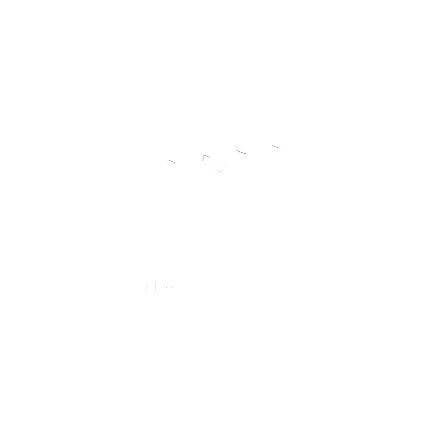 CCCCCCCCCCCCCCCCCCCCCCCC(=O)OC(/C=C(\C)CCC=C(C)C)C/C=C(\C)CCC=C(C)C